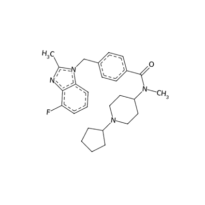 Cc1nc2c(F)cccc2n1Cc1ccc(C(=O)N(C)C2CCN(C3CCCC3)CC2)cc1